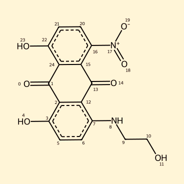 O=C1c2c(O)ccc(NCCO)c2C(=O)c2c([N+](=O)[O-])ccc(O)c21